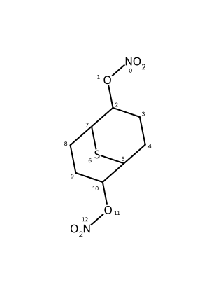 O=[N+]([O-])OC1CCC2SC1CCC2O[N+](=O)[O-]